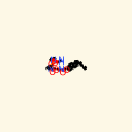 CC(C)CCCC(C)C1CCC2C3CC=C4C[C@@H](OCC(=O)NCCOCC(=O)N5C[C@H](C)C[C@H]5COP(OCCC#N)N(C(C)C)C(C)C)CC[C@]4(C)C3CC[C@]12C